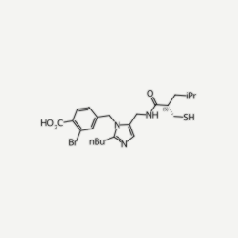 CCCCc1ncc(CNC(=O)[C@@H](CS)CC(C)C)n1Cc1ccc(C(=O)O)c(Br)c1